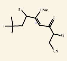 CCC(CC#N)C(=O)/C=C(\OC)C(CC)CC(C)(C)F